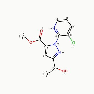 COC(=O)c1cc(C(C)O)nn1-c1ncccc1Cl